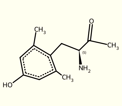 CC(=O)[C@@H](N)Cc1c(C)cc(O)cc1C